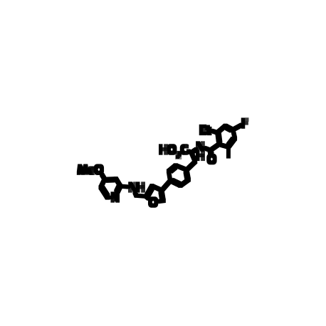 CCc1cc(F)cc(C)c1C(=O)NC(Cc1ccc(-c2coc(CNc3cc(OC)ccn3)c2)cc1)C(=O)O